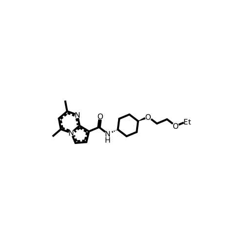 CCOCCO[C@H]1CC[C@H](NC(=O)c2ccn3c(C)cc(C)nc23)CC1